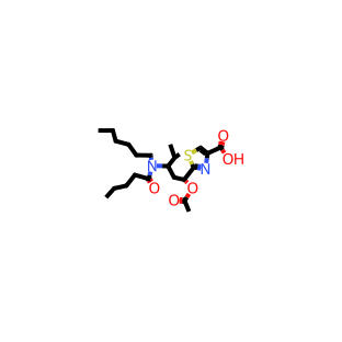 CCCCCCN(C(=O)CCCC)C(CC(OC(C)=O)c1nc(C(=O)O)cs1)C(C)C